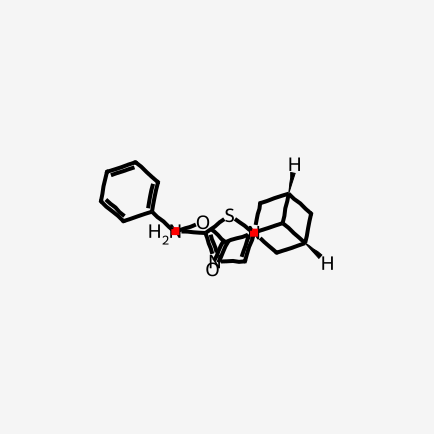 Nc1ncc(C2[C@@H]3C[C@H]2CN(C(=O)OCc2ccccc2)C3)s1